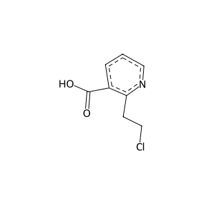 O=C(O)c1cccnc1CCCl